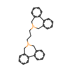 c1ccc2c(c1)CP(CCCP1Cc3ccccc3-c3ccccc3C1)Cc1ccccc1-2